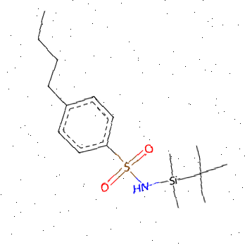 CCCCc1ccc(S(=O)(=O)N[Si](C)(C)C(C)(C)C)cc1